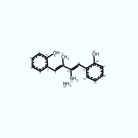 CC(=Cc1ccccc1O)C(N)=Cc1ccccc1O.N